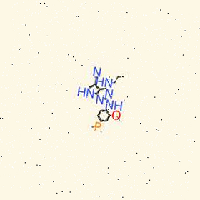 CCCNc1nc(Nc2ccc(P(C)C)cc2OC)nc2[nH]cc(C#N)c12